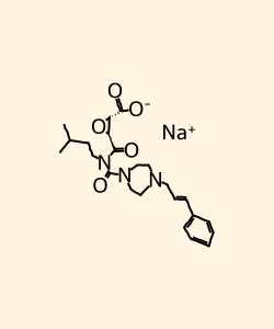 CC(C)CCN(C(=O)[C@H]1O[C@@H]1C(=O)[O-])C(=O)N1CCN(CC=Cc2ccccc2)CC1.[Na+]